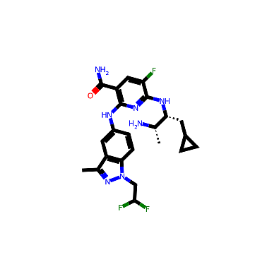 Cc1nn(CC(F)F)c2ccc(Nc3nc(N[C@H](CC4CC4)[C@H](C)N)c(F)cc3C(N)=O)cc12